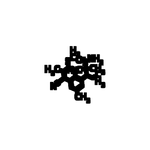 CCC(c1cc(C)cc2c(C#N)c(C)c(SC)nc12)C(C)(C)[S+](N)[O-]